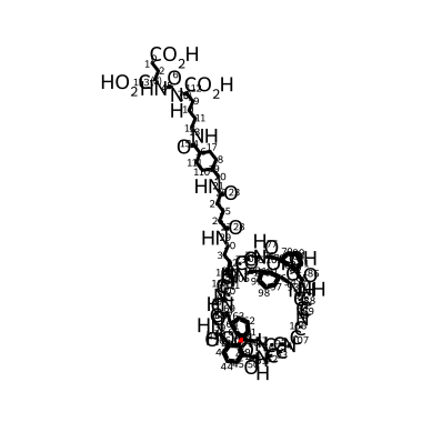 O=C(O)CC[C@H](NC(=O)N[C@@H](CCCCNC(=O)C1CCC(CNC(=O)CCCC(=O)NCCCCC2CN3CCNC(=O)c4cccc(c4O)C(=O)NCCN4CCNC(=O)c5cccc(c5O)C(=O)NCCN(CCNC(=O)c5cccc(c5O)C(=O)NCCN(CCNC(=O)c5cccc(c5O)C(=O)N2)CC4)CC3)CC1)C(=O)O)C(=O)O